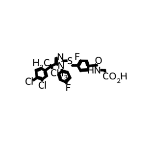 CC(C)(c1ccc(Cl)c(Cl)c1)c1cnc(SCc2ccc(C(=O)NCC(=O)O)cc2F)n1-c1ccc(F)cc1